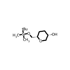 CC(C)(C)[Si](C)(C)OC[C@@H]1CC[C@H](O)CO1